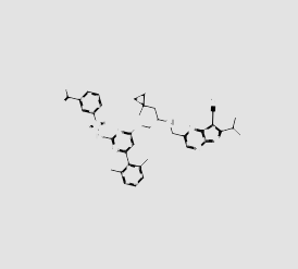 Cc1cccc(C)c1-c1cc(OC[C@@H](CC2(C)CC2)NCc2cnc3oc(C(C)C)c(C#N)c3n2)nc(NS(=O)(=O)c2cccc(C(=O)O)c2)n1